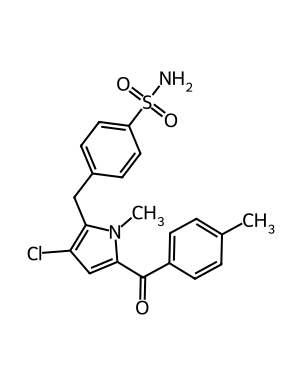 Cc1ccc(C(=O)c2cc(Cl)c(Cc3ccc(S(N)(=O)=O)cc3)n2C)cc1